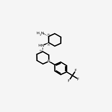 N[C@@H]1CCCC[C@H]1N[C@H]1CCCN(c2ccc(C(F)(F)F)cc2)C1